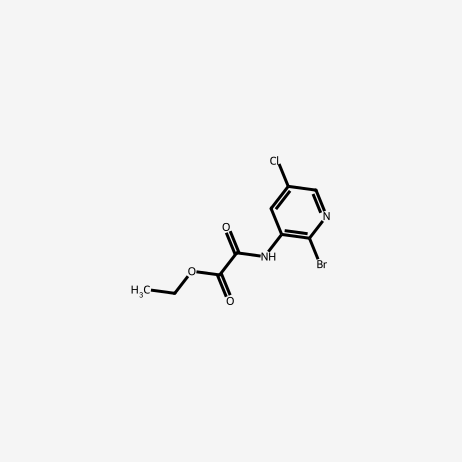 CCOC(=O)C(=O)Nc1cc(Cl)cnc1Br